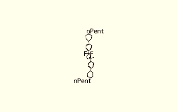 CCCCCC1CCC(c2ccc(C(C)OC(F)(F)c3ccc(C4CCC(CCCCC)CC4)cc3)cc2)CC1